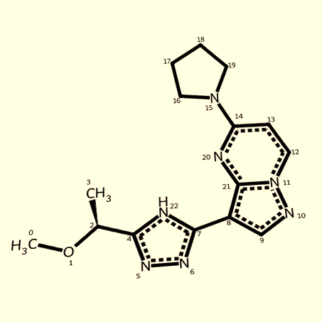 CO[C@@H](C)c1nnc(-c2cnn3ccc(N4CCCC4)nc23)[nH]1